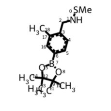 CSNCc1ccc(B2OC(C)(C)C(C)(C)O2)cc1C